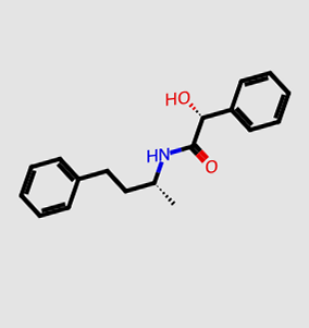 C[C@H](CCc1ccccc1)NC(=O)[C@H](O)c1ccccc1